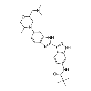 CC1COC(CN(C)C)CN1c1ccc2nc(-c3n[nH]c4cc(NC(=O)C(C)(C)C)ccc34)[nH]c2c1